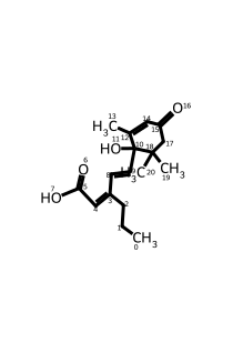 CCCC(=C/C(=O)O)/C=C/C1(O)C(C)=CC(=O)CC1(C)C